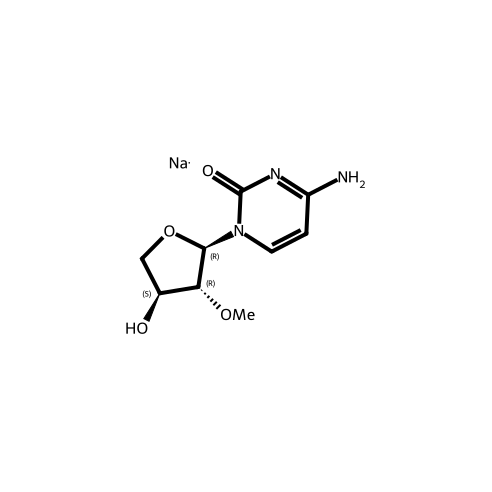 CO[C@H]1[C@H](n2ccc(N)nc2=O)OC[C@@H]1O.[Na]